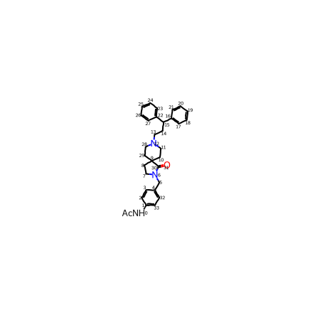 CC(=O)Nc1ccc(CN2CCC3(CCN(CCC(c4ccccc4)c4ccccc4)CC3)C2=O)cc1